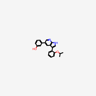 CC(C)Oc1ccccc1-c1c[nH]c2ncc(-c3cccc(O)c3)cc12